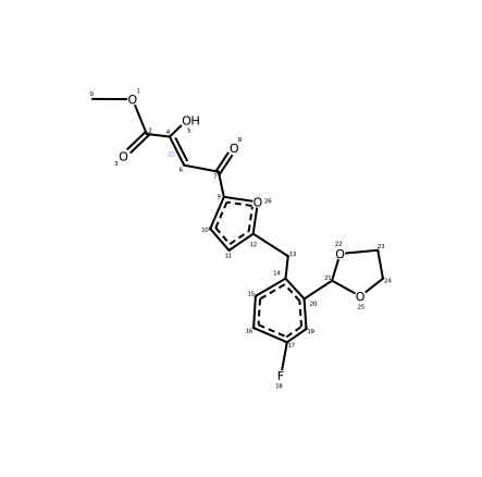 COC(=O)/C(O)=C/C(=O)c1ccc(Cc2ccc(F)cc2C2OCCO2)o1